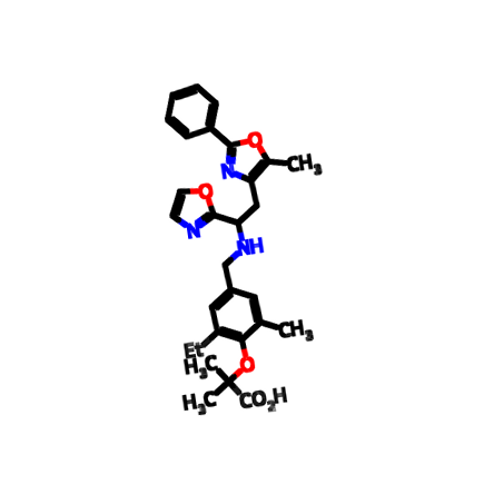 CCc1cc(CNC(Cc2nc(-c3ccccc3)oc2C)c2ncco2)cc(C)c1OC(C)(C)C(=O)O